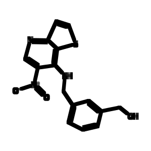 O=[N+]([O-])c1cnc2ccsc2c1NCc1cccc(CO)c1